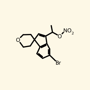 CC(O[N+](=O)[O-])C1=CC2(CCOCC2)c2ccc(Br)cc21